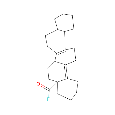 O=C(F)C12CCCCC1=C1CCC3=C(CCC4CCCCC34)C1CC2